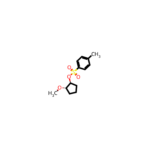 CO[C@H]1CCC[C@@H]1OS(=O)(=O)c1ccc(C)cc1